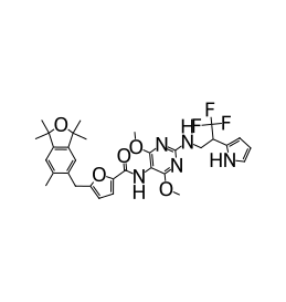 COc1nc(NCC(c2ccc[nH]2)C(F)(F)F)nc(OC)c1NC(=O)c1ccc(Cc2cc3c(cc2C)C(C)(C)OC3(C)C)o1